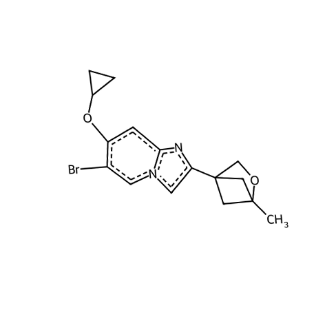 CC12CC(c3cn4cc(Br)c(OC5CC5)cc4n3)(CO1)C2